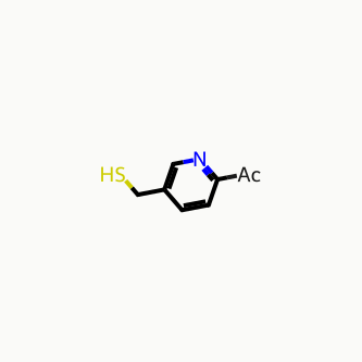 CC(=O)c1ccc(CS)cn1